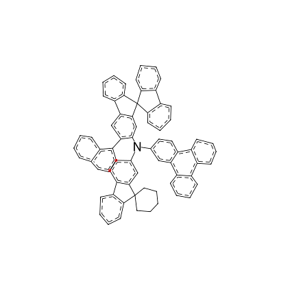 c1ccc2c(c1)-c1ccc(N(c3ccc4c5ccccc5c5ccccc5c4c3)c3cc4c(cc3-c3cccc5ccccc35)-c3ccccc3C43c4ccccc4-c4ccccc43)cc1C21CCCCC1